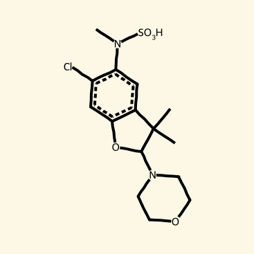 CN(c1cc2c(cc1Cl)OC(N1CCOCC1)C2(C)C)S(=O)(=O)O